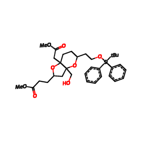 COC(=O)CCC1CC2(CO)OC(CCO[Si](c3ccccc3)(c3ccccc3)C(C)(C)C)CCC2(CC(=O)OC)O1